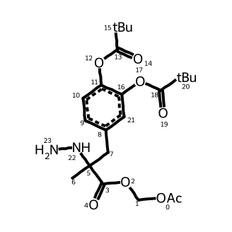 CC(=O)OCOC(=O)C(C)(Cc1ccc(OC(=O)C(C)(C)C)c(OC(=O)C(C)(C)C)c1)NN